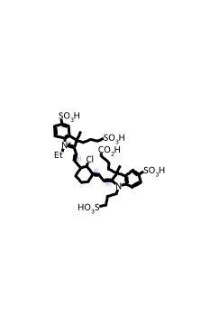 CC[N+]1=C(/C=C/C2CCC/C(=C\C=C3\N(CCCS(=O)(=O)O)c4ccc(S(=O)(=O)O)cc4C3(C)CCCC(=O)O)C2Cl)C(C)(CCCS(=O)(=O)O)c2cc(S(=O)(=O)O)ccc21